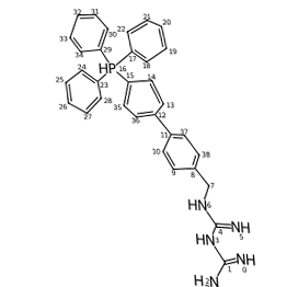 N=C(N)NC(=N)NCc1ccc(-c2ccc([PH](c3ccccc3)(c3ccccc3)c3ccccc3)cc2)cc1